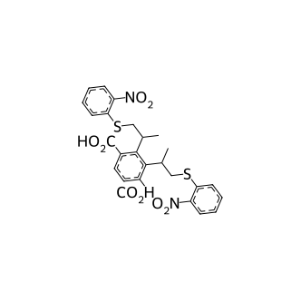 CC(CSc1ccccc1[N+](=O)[O-])c1c(C(=O)O)ccc(C(=O)O)c1C(C)CSc1ccccc1[N+](=O)[O-]